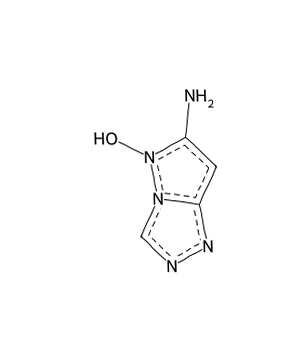 Nc1cc2nncn2n1O